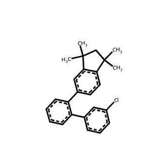 CC1(C)CC(C)(C)c2cc(-c3ccccc3-c3cccc(Cl)c3)ccc21